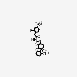 CCS(=O)(=O)c1ccc(CC(=O)Nc2nc3c(s2)C(=O)C(C)(c2ccccc2Cl)CC3)c(F)c1